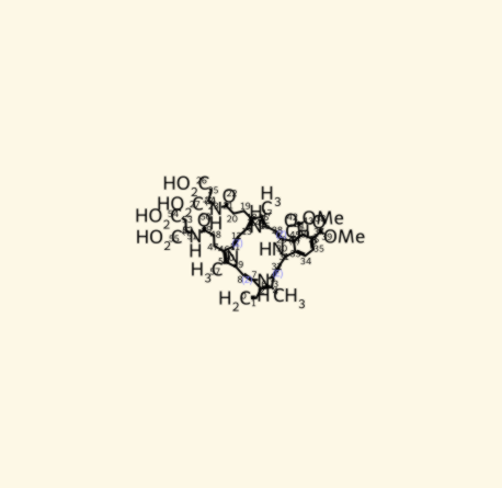 C=Cc1c(C)/c2[nH]/c1=C\C1=NC(=C\c3[nH]c(c(C)c3CCC(=O)N[C@@H](CC(=O)O)C(=O)O)/C=C3\NC(/C=2)C2=CC=C(C(=O)OC)[C@@H](C(=O)OC)[C@]23C)/C(CCC(=O)N[C@@H](CC(=O)O)C(=O)O)=C1C